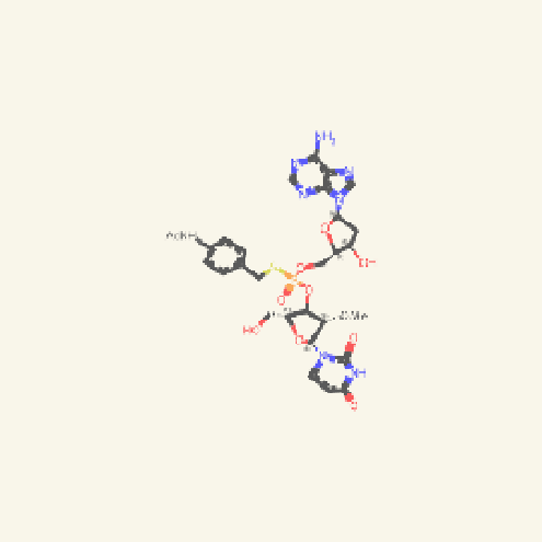 CO[C@H]1C(OP(=O)(OC[C@H]2O[C@@H](n3cnc4c(N)ncnc43)C[C@H]2O)SCc2ccc(NC(C)=O)cc2)[C@@H](CO)O[C@H]1n1ccc(=O)[nH]c1=O